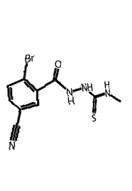 CNC(=S)NNC(=O)c1cc(C#N)ccc1Br